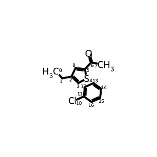 CCc1csc(C(C)=O)c1.Clc1ccccc1